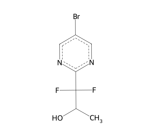 CC(O)C(F)(F)c1ncc(Br)cn1